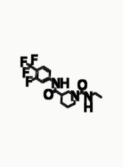 CCNC(=O)N1CCCC(C(=O)Nc2ccc(C(F)(F)F)c(F)c2)C1